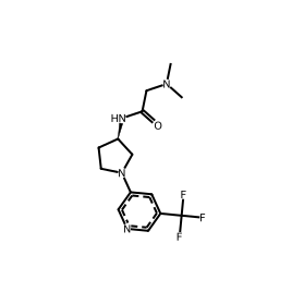 CN(C)CC(=O)N[C@@H]1CCN(c2cncc(C(F)(F)F)c2)C1